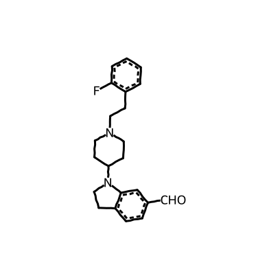 O=Cc1ccc2c(c1)N(C1CCN(CCc3ccccc3F)CC1)CC2